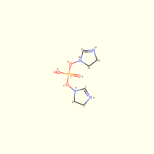 O=P(O)(ON1C=NCC1)ON1C=NCC1